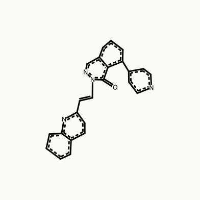 O=c1c2c(-c3ccncc3)cccc2cnn1C=Cc1ccc2ccccc2n1